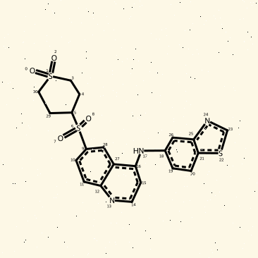 O=S1(=O)CCC(S(=O)(=O)c2ccc3nccc(Nc4ccc5scnc5c4)c3c2)CC1